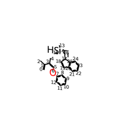 C=C(C)C(C)=COc1ccccc1.C[SiH](C)[Ti][CH]1C=Cc2ccccc21